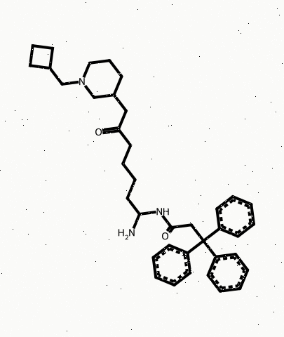 NC(CCCCC(=O)CC1CCCN(CC2CCC2)C1)NC(=O)CC(c1ccccc1)(c1ccccc1)c1ccccc1